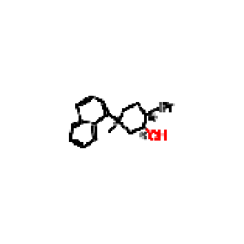 CC(C)[C@@H]1CC[C@](C)(c2cccc3ccccc23)C[C@H]1O